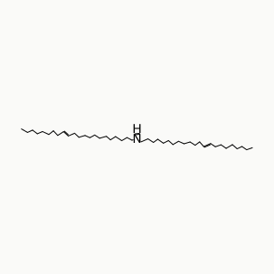 C=C.CCCCCCCCC=CCCCCCCCCCCCCNCCCCCCCCCCCCC=CCCCCCCCC